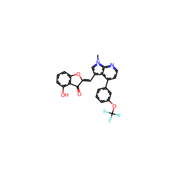 Cn1cc(C=C2Oc3cccc(O)c3C2=O)c2c(-c3cccc(OC(F)(F)F)c3)ccnc21